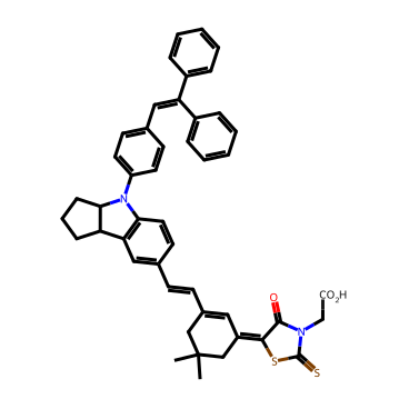 CC1(C)CC(/C=C/c2ccc3c(c2)C2CCCC2N3c2ccc(C=C(c3ccccc3)c3ccccc3)cc2)=CC(=C2/SC(=S)N(CC(=O)O)C2=O)/C1